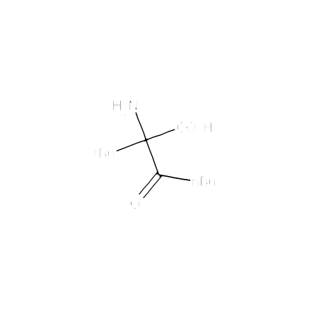 CCCCC(=O)C(N)(C(=O)O)C(C)(C)C